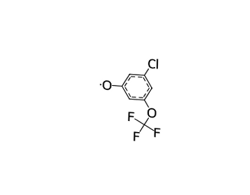 [O]c1cc(Cl)cc(OC(F)(F)F)c1